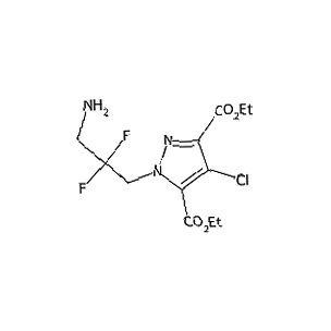 CCOC(=O)c1nn(CC(F)(F)CN)c(C(=O)OCC)c1Cl